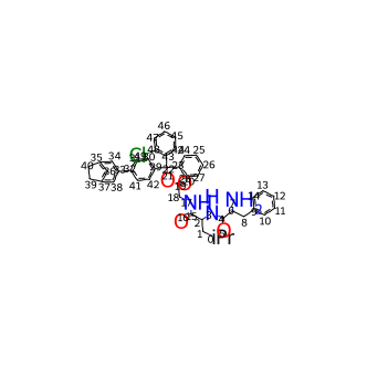 CC(C)CC(NC(=O)C(N)Cc1ccccc1)C(=O)NCC(=O)OC(c1ccccc1)(c1ccc(-c2cc3cc(c2)CC3)cc1)c1ccccc1Cl